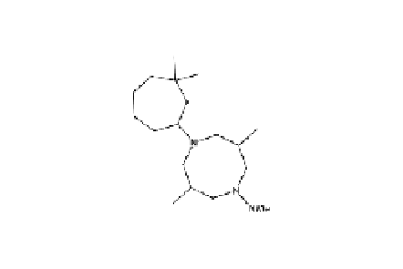 CNN1CC(C)CN(C2CCCCC(C)(C)C2)CC(C)C1